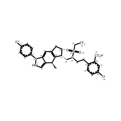 C[C@H]1C2=CNN(c3ccc(F)cc3)C2=CC2=C1[C@@H](CN(CCc1ccc(Cl)cc1C(=O)O)S(=O)(=O)CC(F)(F)F)CC2